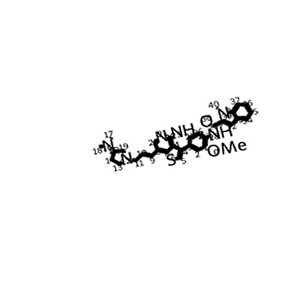 COc1cc(-c2csc3c(C=CCN4CC[C@H](N(C)C)C4)cnc(N)c23)ccc1NC(=O)c1cc2ccccc2n1C